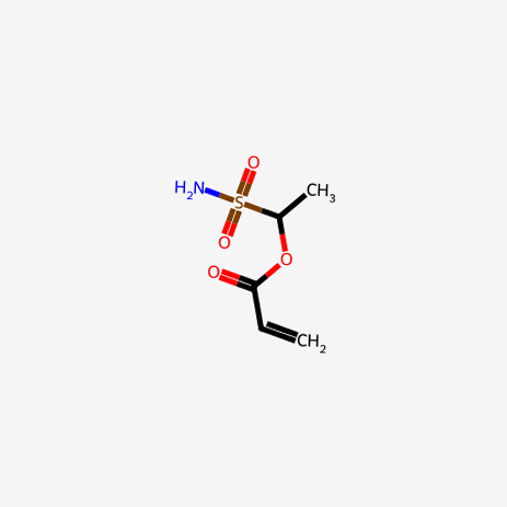 C=CC(=O)OC(C)S(N)(=O)=O